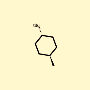 [CH2][C@H]1CC[C@H](C(C)(C)C)CC1